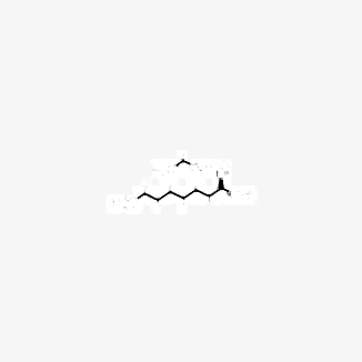 CCCCCCCC(=O)O.C[CH2][AlH2]